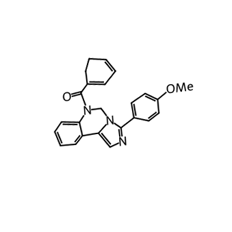 COc1ccc(-c2ncc3n2CN(C(=O)C2=CC=CCC2)c2ccccc2-3)cc1